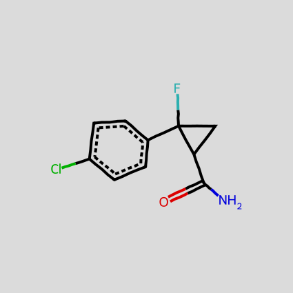 NC(=O)C1CC1(F)c1ccc(Cl)cc1